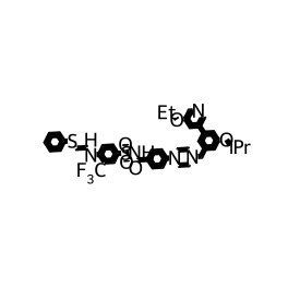 CCOc1cncc(-c2cc(CN3CCN(c4ccc(C(=O)NS(=O)(=O)c5ccc(NCCSc6ccccc6)c(C(F)(F)F)c5)cc4)CC3)cc(OC(C)C)c2)c1